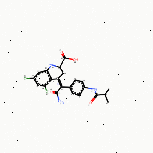 CC(C)C(=O)Nc1ccc(/C(C(N)=O)=C2\CC(C(=O)O)Nc3cc(Cl)cc(Cl)c32)cc1